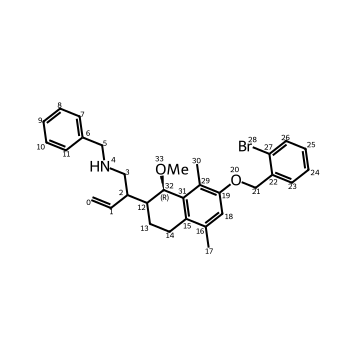 C=CC(CNCc1ccccc1)C1CCc2c(C)cc(OCc3ccccc3Br)c(C)c2[C@@H]1OC